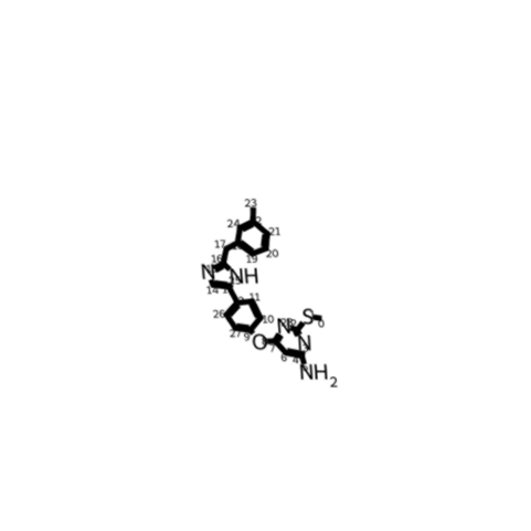 CSc1nc(N)cc(Oc2ccc(-c3cnc(Cc4cccc(C)c4)[nH]3)cc2)n1